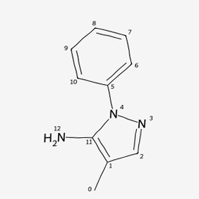 Cc1cnn(-c2ccccc2)c1N